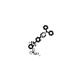 NC(=O)Oc1cccc2[nH]c(-c3ccc(N4CCN(C(c5ccccc5)c5ccccc5)CC4)cc3)nc12